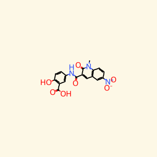 Cn1c(=O)c(C(=O)Nc2ccc(O)c(C(=O)O)c2)cc2cc([N+](=O)[O-])ccc21